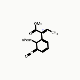 C/C=C(/C(=O)OC)C1=CC=CC(=C=O)C1CCCCC